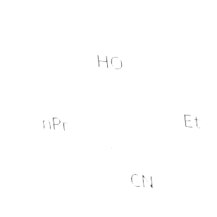 CCCC(C#N)C(O)CC